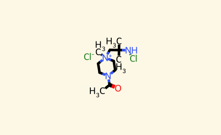 CC(=O)N1CC[N+](C)(CC(C)(C)NCl)CC1.[Cl-]